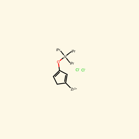 CC(C)[Si](OC1=CC[C]([Zr+2])=C1)(C(C)C)C(C)C.[Cl-].[Cl-]